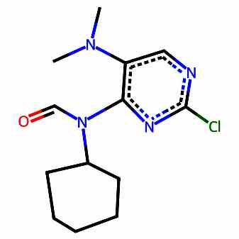 CN(C)c1cnc(Cl)nc1N(C=O)C1CCCCC1